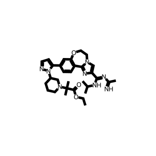 CCOC(=O)C(C)(C)N1CCCC(n2nccc2-c2ccc3c(c2)OCCn2cc(/C(=N/C(C)=N)NC(C)C)nc2-3)C1